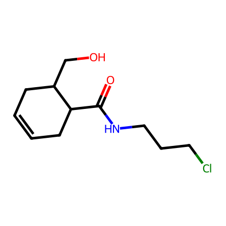 O=C(NCCCCl)C1CC=CCC1CO